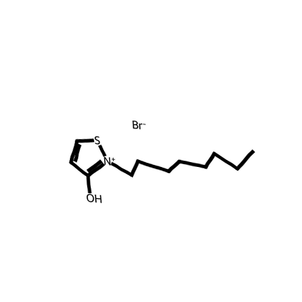 CCCCCCCC[n+]1sccc1O.[Br-]